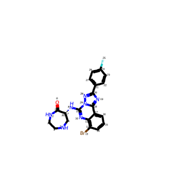 O=C1NCCNC[C@H]1Nc1nc2c(Br)cccc2c2nc(-c3ccc(F)cc3)nn12